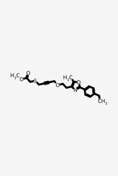 CCc1ccc(-c2nc(CCOCC#CCSCC(=O)OC)c(C)o2)cc1